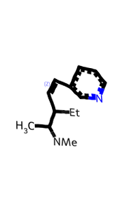 CCC(/C=C\c1cccnc1)C(C)NC